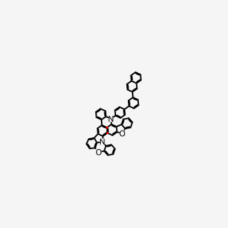 c1cc(-c2ccc(N(c3ccccc3-c3ccc4c(c3)c3cccc5c3n4-c3ccccc3O5)c3cccc4oc5ccccc5c34)cc2)cc(-c2ccc3ccccc3c2)c1